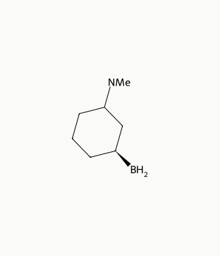 B[C@H]1CCCC(NC)C1